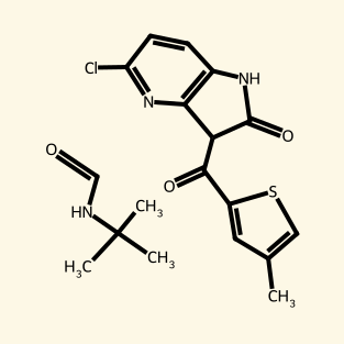 CC(C)(C)NC=O.Cc1csc(C(=O)C2C(=O)Nc3ccc(Cl)nc32)c1